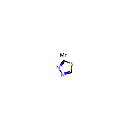 [Mn].c1nncs1